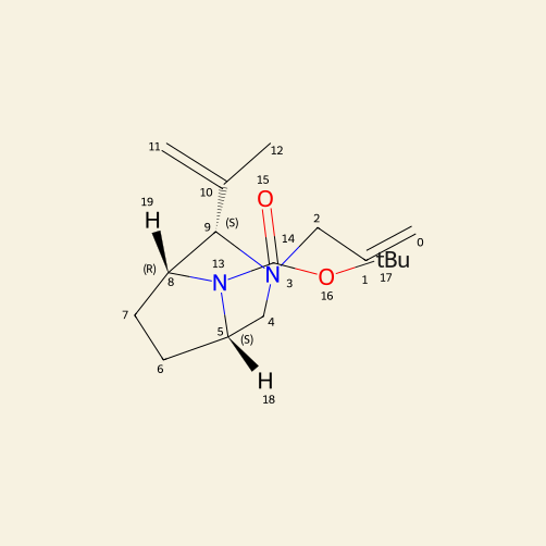 C=CCN1C[C@@H]2CC[C@H]([C@@H]1C(=C)C)N2C(=O)OC(C)(C)C